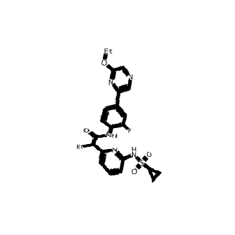 CCOc1cncc(-c2ccc(NC(=O)C(CC)c3cccc(NS(=O)(=O)C4CC4)n3)c(F)c2)n1